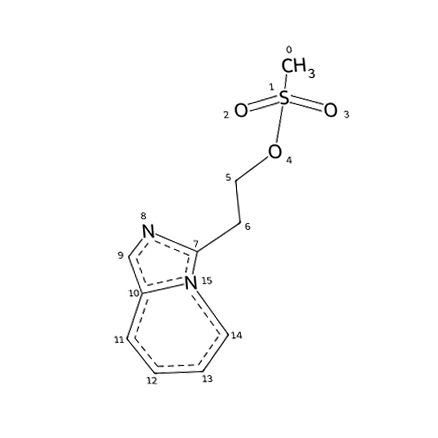 CS(=O)(=O)OCCc1ncc2ccccn12